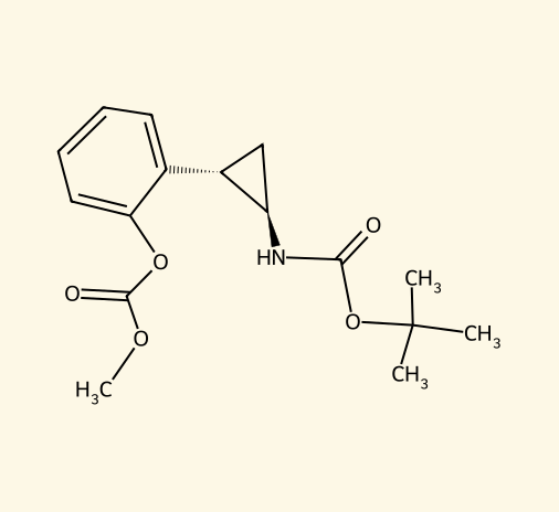 COC(=O)Oc1ccccc1[C@@H]1C[C@H]1NC(=O)OC(C)(C)C